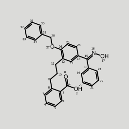 O=C(O)c1ccccc1CCCc1cc(C(=NO)c2ccccc2)ccc1OCc1ccccc1